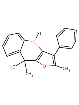 CCB1c2ccccc2C(C)(C)c2oc(C)c(-c3ccccc3)c21